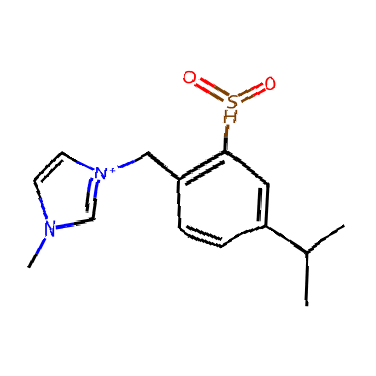 CC(C)c1ccc(C[n+]2ccn(C)c2)c([SH](=O)=O)c1